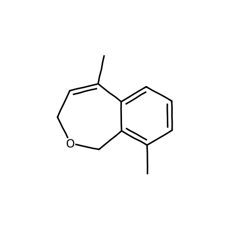 CC1=CCOCc2c(C)cccc21